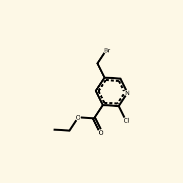 CCOC(=O)c1cc(CBr)cnc1Cl